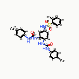 CC(=O)c1ccc(NC(=O)Nc2ccc(NS(=O)(=O)c3ccccc3C)cc2NC(=O)Nc2ccc(C(C)=O)cc2)cc1